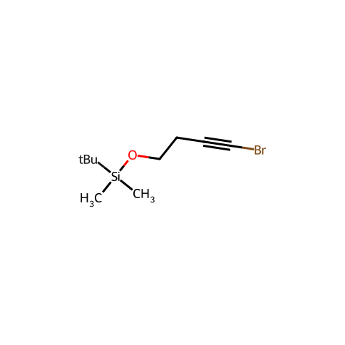 CC(C)(C)[Si](C)(C)OCCC#CBr